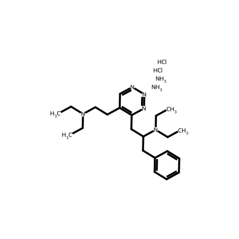 CCN(CC)CCc1cnnnc1CC(Cc1ccccc1)N(CC)CC.Cl.Cl.N.N